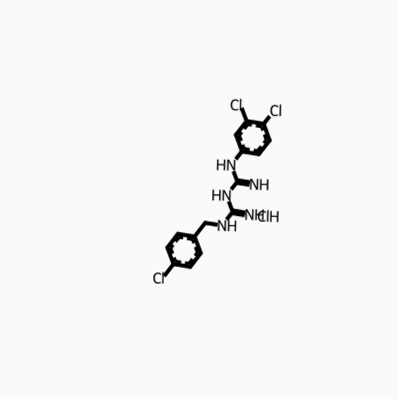 Cl.N=C(NCc1ccc(Cl)cc1)NC(=N)Nc1ccc(Cl)c(Cl)c1